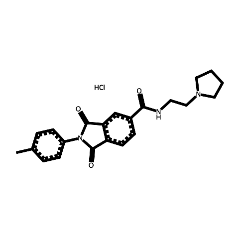 Cc1ccc(N2C(=O)c3ccc(C(=O)NCCN4CCCC4)cc3C2=O)cc1.Cl